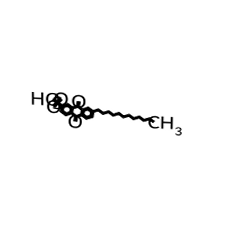 CCCCCCCCCCCCc1ccc2c(c1)C(=O)c1cc(S(=O)(=O)O)ccc1C2=O